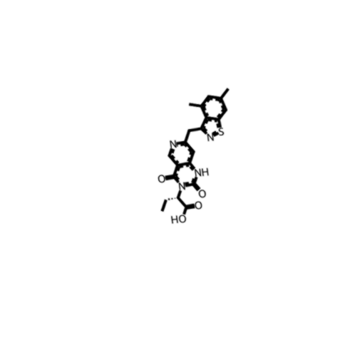 CC[C@@H](C(=O)O)n1c(=O)[nH]c2cc(Cc3nsc4cc(C)cc(C)c34)ncc2c1=O